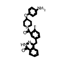 Nc1ccc(OC2CCN(C(=O)c3cc(Cc4n[nH]c(=O)c5ccccc45)ccc3F)CC2)cc1